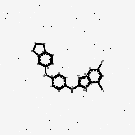 Fc1cc(F)c2[nH]c(Nc3ccc(Oc4ccc5c(c4)CCC5)cc3)nc2c1